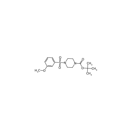 COc1cccc(S(=O)(=O)N2CCN(C(=O)OC(C)(C)C)CC2)c1